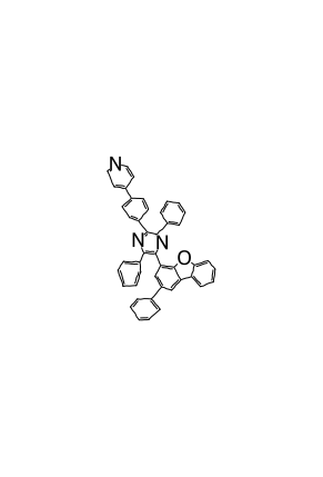 c1ccc(-c2cc(-c3nc(-c4ccccc4)c(-c4ccc(-c5ccncc5)cc4)nc3-c3ccccc3)c3oc4ccccc4c3c2)cc1